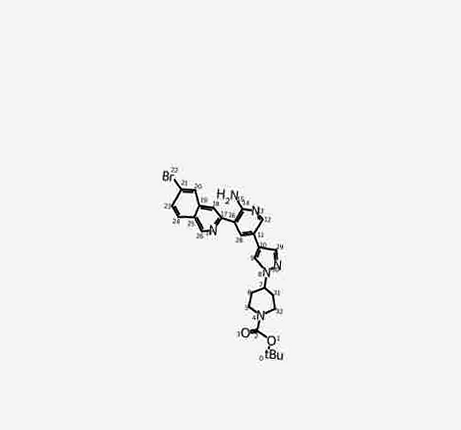 CC(C)(C)OC(=O)N1CCC(n2cc(-c3cnc(N)c(-c4cc5cc(Br)ccc5cn4)c3)cn2)CC1